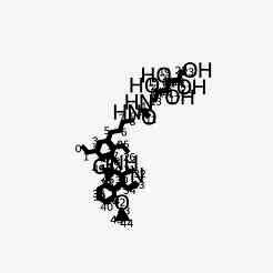 CCc1cc(CCCCNC(=O)NC[C@H](O)[C@@H](O)[C@H](O)[C@H](O)CO)c(CC)c(NC2(c3cnccc3-c3ccccc3OC3CC3)CC2)c1Cl